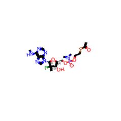 CNc1ncnc2c1ncn2[C@@H]1O[C@H](COP(=O)(OCCSC(C)=O)N(C)C)[C@H](O)C1(C)F